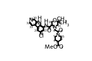 COC(=O)C1CCN(C(=O)CN2CC(C)(C)OCC2C(=O)Nc2cc(Cl)cc3c2[nH]c2cnccc23)CC1